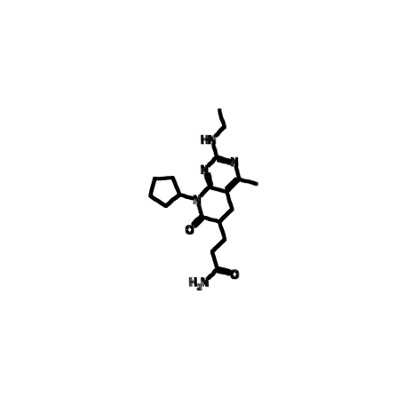 CCNc1nc(C)c2c(n1)N(C1CCCC1)C(=O)C(CCC(N)=O)C2